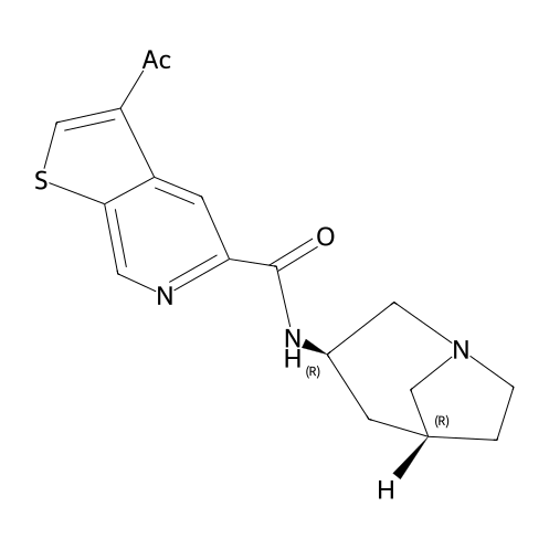 CC(=O)c1csc2cnc(C(=O)N[C@@H]3C[C@H]4CCN(C4)C3)cc12